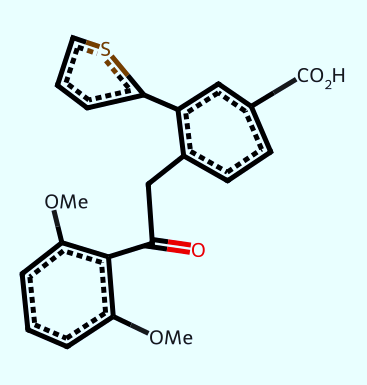 COc1cccc(OC)c1C(=O)Cc1ccc(C(=O)O)cc1-c1cccs1